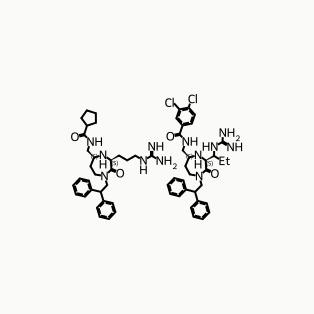 CCC(NC(=N)N)[C@@H]1N[C@H](CNC(=O)c2ccc(Cl)c(Cl)c2)CCN(CC(c2ccccc2)c2ccccc2)C1=O.N=C(N)NCCC[C@@H]1N[C@H](CNC(=O)C2CCCC2)CCN(CC(c2ccccc2)c2ccccc2)C1=O